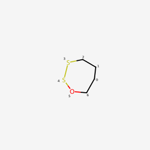 C1CCSSOC1